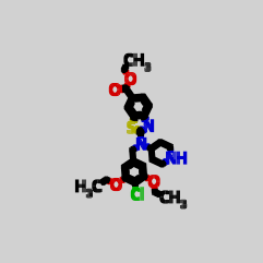 CCOC(=O)c1ccc2nc(N(Cc3cc(OCC)c(Cl)c(OCC)c3)C3CCNCC3)sc2c1